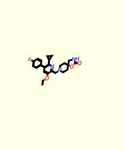 CCOc1cc(-c2ccc(F)cc2)c(C2CC2)nc1CN1CCC2(CC1)CNC(=O)O2